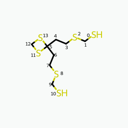 SCSCCC1(CCSCS)SCS1